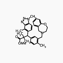 COC(=O)C(C)(C)C(c1ccc(C)c(CN2CCOc3ccccc3C2)c1)c1ccc2c(nnn2C)c1C